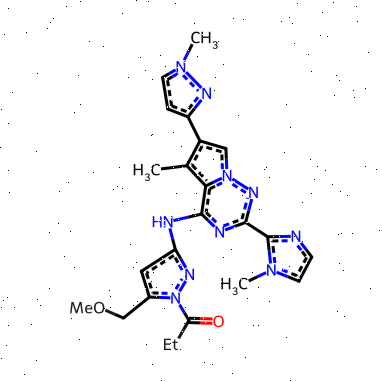 CCC(=O)n1nc(Nc2nc(-c3nccn3C)nn3cc(-c4ccn(C)n4)c(C)c23)cc1COC